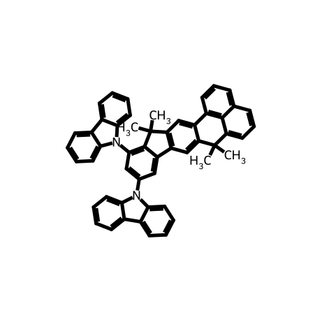 CC1(C)c2cc3c(cc2-c2cc(-n4c5ccccc5c5ccccc54)cc(-n4c5ccccc5c5ccccc54)c21)C(C)(C)c1cccc2cccc-3c12